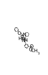 COC(=O)c1cccc(-c2n[nH]c(C3CCCCN3C(=O)COc3ccccc3)n2)c1